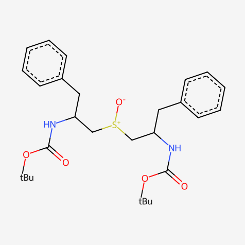 CC(C)(C)OC(=O)NC(Cc1ccccc1)C[S+]([O-])CC(Cc1ccccc1)NC(=O)OC(C)(C)C